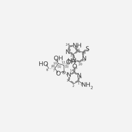 Nc1ccn([C@@H]2O[C@H](CO)[C@@H](O)[C@@H]2O)c(=O)n1.S=c1nc[nH]c2nc[nH]c12